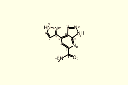 NC(=O)c1cc(-c2cc[nH]n2)c2cn[nH]c2n1